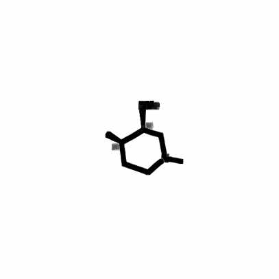 CN[C@H]1CN(C)CC[C@H]1C